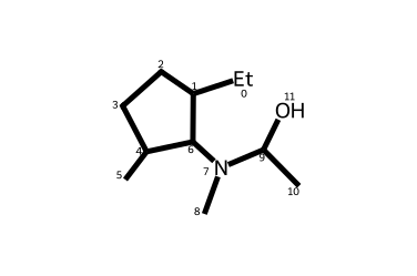 CCC1CCC(C)C1N(C)C(C)O